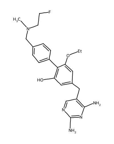 CCOc1cc(Cc2cnc(N)nc2N)cc(O)c1-c1ccc(CN(C)CCF)cc1